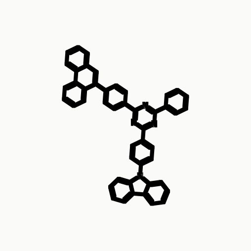 c1ccc(-c2nc(-c3ccc(-c4cc5ccccc5c5ccccc45)cc3)nc(-c3ccc(-n4c5ccccc5c5ccccc54)cc3)n2)cc1